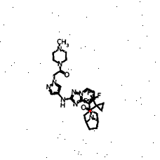 CN1CCN(C(=O)Cn2cc(Nc3nc4c(N5CC6CCC(C5)N6C(=O)C5(C(F)(F)F)CC5)cccn4n3)cn2)CC1